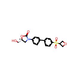 O=C1O[C@@H](CO)CN1c1ccc(-c2ccc(S(=O)(=O)C3COC3)cc2)cc1